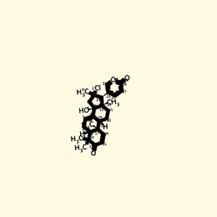 CC1(Cl)C[C@]2(O)C3=CC[C@H]4C(C)(C)C(=O)C=C[C@]4(C)[C@H]3CC[C@]2(C)[C@H]1c1ccc(=O)oc1